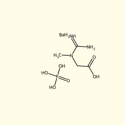 CN(CC(=O)O)C(=N)N.O=P(O)(O)O.[BaH2]